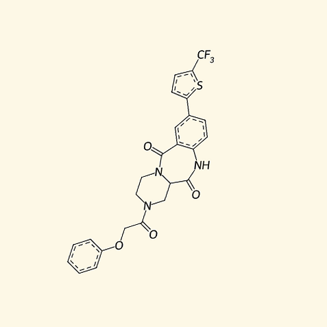 O=C1Nc2ccc(-c3ccc(C(F)(F)F)s3)cc2C(=O)N2CCN(C(=O)COc3ccccc3)CC12